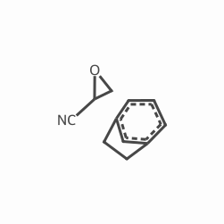 N#CC1CO1.c1cc2cc(c1)CC2